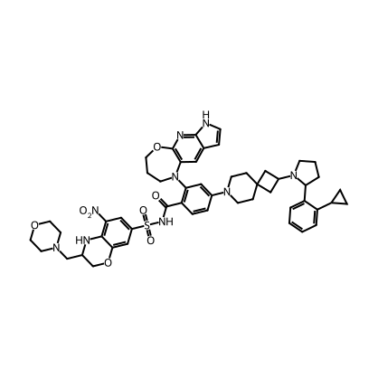 O=C(NS(=O)(=O)c1cc2c(c([N+](=O)[O-])c1)NC(CN1CCOCC1)CO2)c1ccc(N2CCC3(CC2)CC(N2CCCC2c2ccccc2C2CC2)C3)cc1N1CCCOc2nc3[nH]ccc3cc21